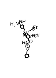 CCOCCCn1c(CCc2ccc(C(=N)N)cc2)nc2cc(C(=O)NN3CCN(CCc4ccccc4)CC3)ccc21.Cl.Cl